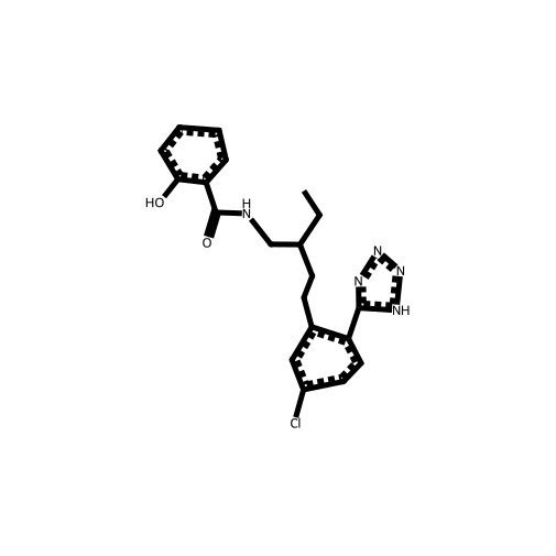 CCC(CCc1cc(Cl)ccc1-c1nnn[nH]1)CNC(=O)c1ccccc1O